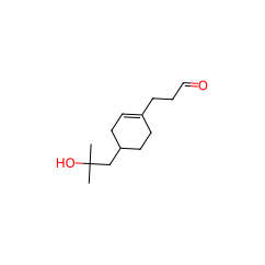 CC(C)(O)CC1CC=C(CCC=O)CC1